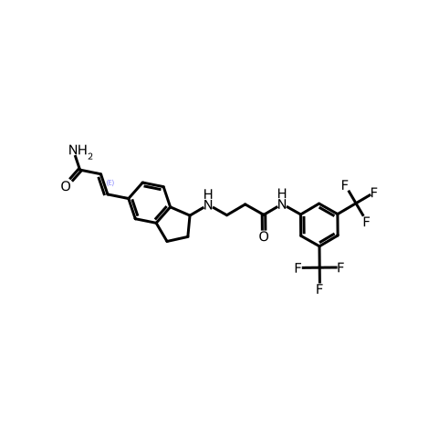 NC(=O)/C=C/c1ccc2c(c1)CCC2NCCC(=O)Nc1cc(C(F)(F)F)cc(C(F)(F)F)c1